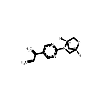 C=CC(=C)c1cnc(N2C[C@@H]3C[C@H]2CO3)nc1